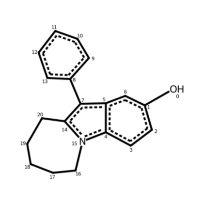 Oc1ccc2c(c1)c(-c1ccccc1)c1n2CCCCC1